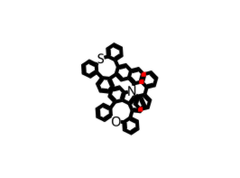 c1ccc(-c2ccccc2N(c2cccc3cc4c5ccccc5sc5ccccc5c5ccccc5c4cc23)c2cccc3c4ccccc4oc4ccccc4c4ccccc4c23)cc1